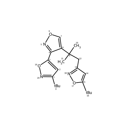 CC(C)(C)c1cc(-c2nocc2C(C)(C)Cc2cc(C(C)(C)C)on2)on1